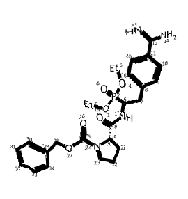 CCOP(=O)(OCC)C(Cc1ccc(C(=N)N)cc1)NC(=O)[C@@H]1CCCN1C(=O)OCc1ccccc1